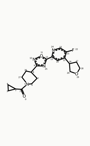 O=C(C1CC1)N1CCC(c2noc(-c3cc(C4CCOC4)c(F)cn3)n2)CC1